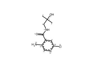 CC(C)(O)CNC(=O)c1cc(Cl)ncc1N